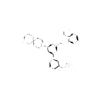 C[C@H](N)c1cccc(-c2cc(COc3ccccc3CC(=O)O)cc(N3CCC4(CCCOC4)CC3)c2)c1